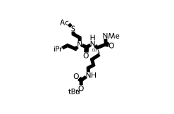 CNC(=O)[C@H](CCCCNC(=O)OC(C)(C)C)NC(=O)N(CCSC(C)=O)CCC(C)C